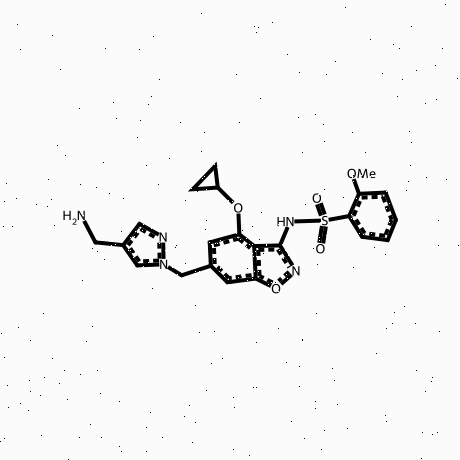 COc1ccccc1S(=O)(=O)Nc1noc2cc(Cn3cc(CN)cn3)cc(OC3CC3)c12